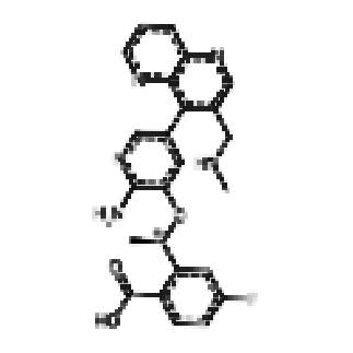 CNCc1cnc2cccnc2c1-c1cnc(N)c(O[C@H](C)c2cc(F)ccc2C(=O)O)c1